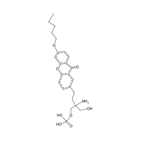 CCCCCOc1ccc2c(=O)c3cc(CCC(N)(CO)COP(=O)(O)O)ccc3oc2c1